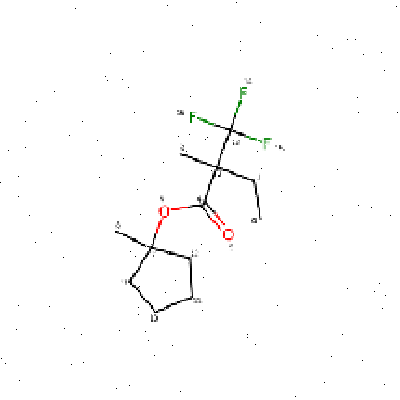 CCC(C)(C(=O)OC1(C)CCCC1)C(F)(F)F